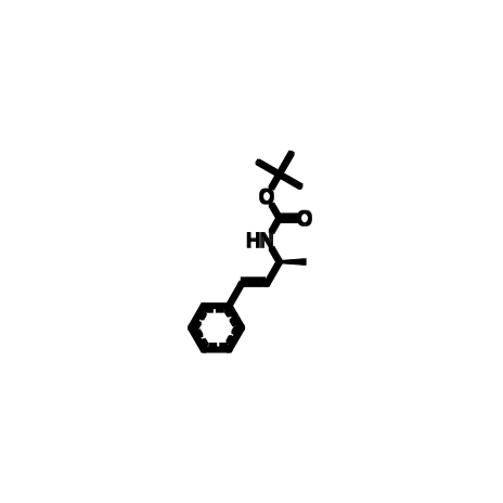 C[C@@H](/C=C/c1ccccc1)NC(=O)OC(C)(C)C